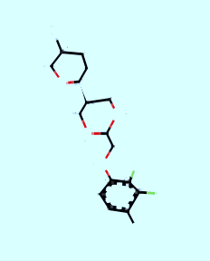 Cc1ccc(OCC2OCC([C@@H]3CCC(C)CO3)CO2)c(F)c1F